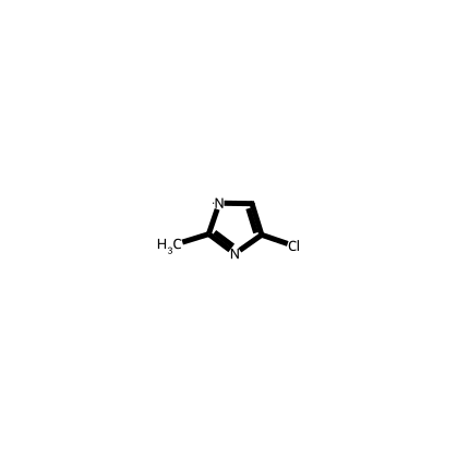 CC1=NC(Cl)=C[N]1